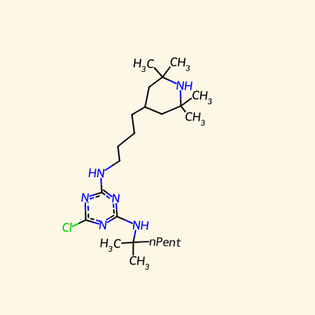 CCCCCC(C)(C)Nc1nc(Cl)nc(NCCCCC2CC(C)(C)NC(C)(C)C2)n1